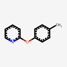 Cc1ccc(Oc2ccccn2)cc1